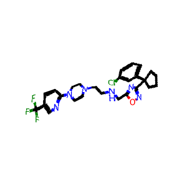 FC(F)(F)c1ccc(N2CCN(CCNCc3nc(C4(c5cccc(Cl)c5)CCCC4)no3)CC2)nc1